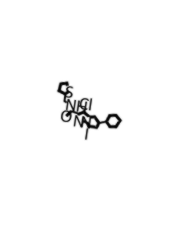 O=C(NCc1cccs1)c1nn2c(I)cc(-c3ccccc3)cc2c1Cl